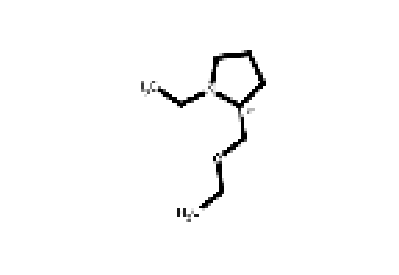 CCOC[C@@H]1CCCN1CC